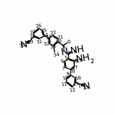 C/C(=N\C(=N)c1ccc(-c2cccc(C#N)c2)cc1N)c1ccc(-c2cccc(C#N)c2)cc1C